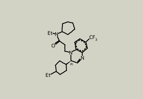 CCC1CCC([C@@H]2C=Nc3cc(C(F)(F)F)ccc3N2CCC(=O)N(CC)C2CCCCC2)CC1